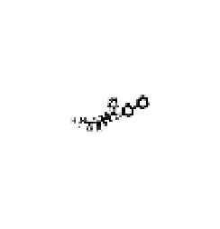 CC(C)(C(Br)OC(N)=O)C(C)(C)C(Oc1ccc(-c2ccccc2)cc1)n1cncn1